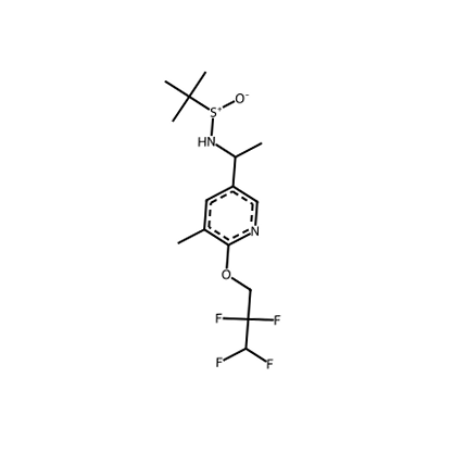 Cc1cc(C(C)N[S+]([O-])C(C)(C)C)cnc1OCC(F)(F)C(F)F